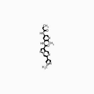 C=CC(=O)Nc1cnc(C)c(NC(=O)c2cnn3cc(-c4cnn(C)c4)ncc23)c1